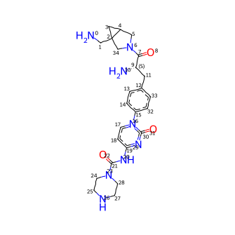 NCC12CC1CN(C(=O)[C@@H](N)Cc1ccc(-n3ccc(NC(=O)N4CCNCC4)nc3=O)cc1)C2